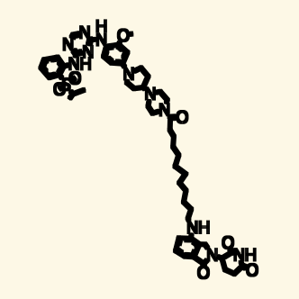 COc1cc(N2CCC(N3CCN(C(=O)CCCCCCCCCCCNc4cccc5c4CN(C4CCC(=O)NC4=O)C5=O)CC3)CC2)ccc1Nc1ncnc(Nc2ccccc2S(=O)(=O)C(C)C)n1